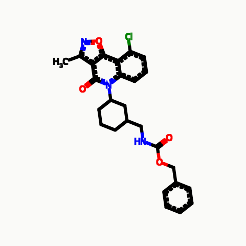 Cc1noc2c1c(=O)n(C1CCCC(CNC(=O)OCc3ccccc3)C1)c1cccc(Cl)c21